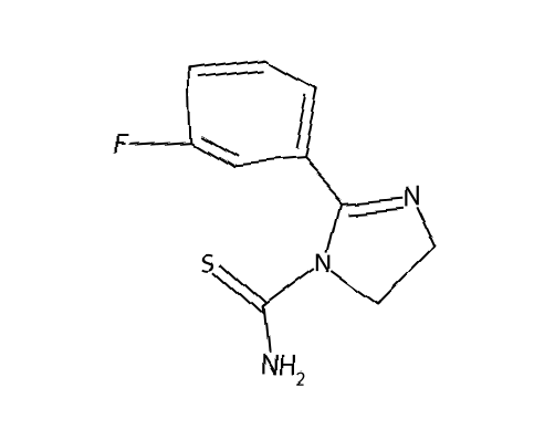 NC(=S)N1CCN=C1c1cccc(F)c1